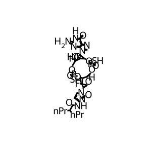 CCCC(CCC)C(=O)Nc1ccn([C@@H]2C3O[C@@H]4CO[P@@](=O)(S)OC5C(O)[C@@H](CO[P@@](=O)(S)OC4C32F)O[C@H]5n2cnc3c(=O)[nH]c(N)nc32)c(=O)n1